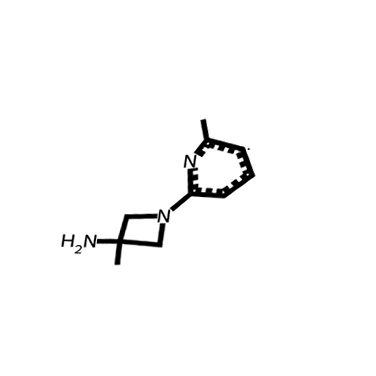 Cc1[c]ccc(N2CC(C)(N)C2)n1